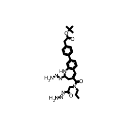 CCCN(CC(=O)N=NN)C(=O)C1=Cc2ccc(-c3ccc(CC(=O)OC(C)(C)C)cc3)cc2NC(N=NN)C1